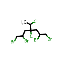 [CH2]C(Cl)C(Cl)(CC(Br)CBr)CC(Br)CBr